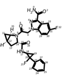 NC(=O)c1nn(CC(=O)N2[C@@H]3C[C@@H]3C[C@H]2C(=O)NC2CC2(F)c2ccccc2)c2ccc(F)cc12